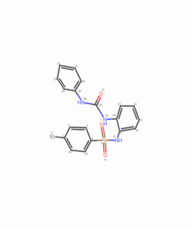 CCc1ccc(S(=O)(=O)Nc2ccccc2NC(=O)Nc2ccccc2)cc1